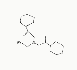 CC(C)[CH2][Al]([CH2]C(C)C1CCCCC1)[CH2]C(C)C1CCCCC1